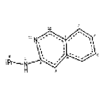 CC(C)Nc1cc2ccccc2cn1